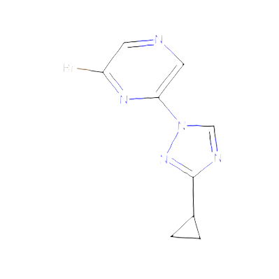 Brc1cncc(-n2cnc(C3CC3)n2)n1